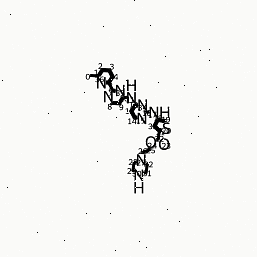 Cc1cccc(-c2nccc(Nc3ccnc(Nc4csc(C(=O)OCCN5CCNCC5)c4)n3)n2)n1